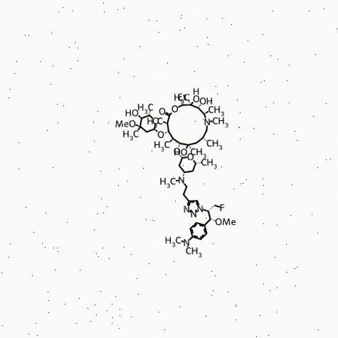 CC[C@H]1OC(=O)[C@H](C)[C@@H](O[C@H]2C[C@@](C)(OC)[C@@H](O)[C@H](C)O2)[C@H](C)[C@@H](O[C@H]2C[C@@H](N(C)CCc3cn([C@H](CF)[C@H](OC)c4ccc(N(C)C)cc4)nn3)C[C@@H](C)O2)[C@](C)(O)C[C@@H](C)CN(C)[C@H](C)[C@@H](O)[C@]1(C)O